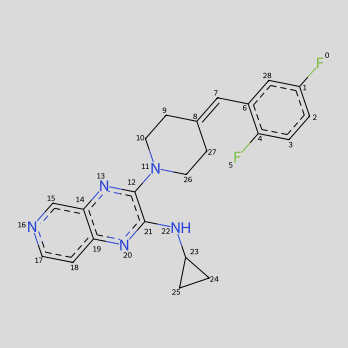 Fc1ccc(F)c(C=C2CCN(c3nc4cnccc4nc3NC3CC3)CC2)c1